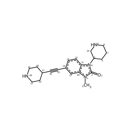 Cn1c(=O)n(C2CCCNC2)c2ccc(C#CC3CCNCC3)cc21